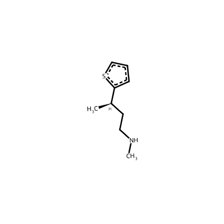 CNCC[C@@H](C)c1cccs1